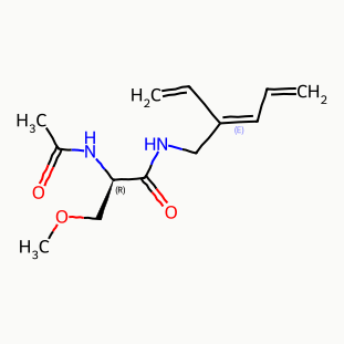 C=C/C=C(\C=C)CNC(=O)[C@@H](COC)NC(C)=O